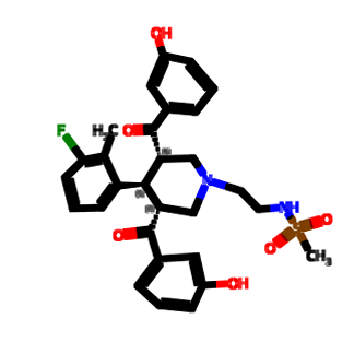 Cc1c(F)cccc1[C@@H]1[C@@H](C(=O)c2cccc(O)c2)CN(CCNS(C)(=O)=O)C[C@H]1C(=O)c1cccc(O)c1